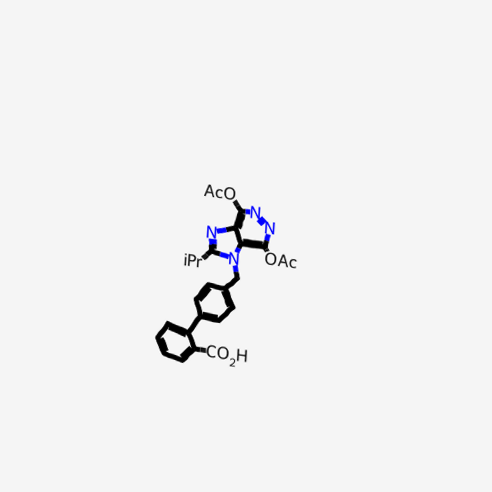 CC(=O)Oc1nnc(OC(C)=O)c2c1nc(C(C)C)n2Cc1ccc(-c2ccccc2C(=O)O)cc1